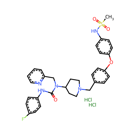 CS(=O)(=O)Nc1ccc(Oc2ccc(CN3CCC(N(Cc4ccccn4)C(=O)Nc4ccc(F)cc4)CC3)cc2)cc1.Cl.Cl